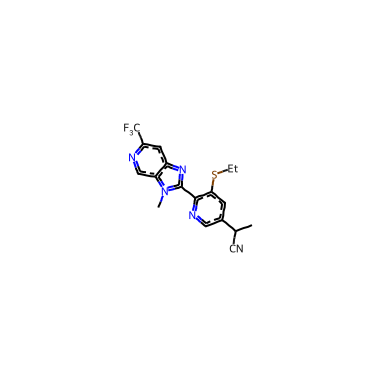 CCSc1cc(C(C)C#N)cnc1-c1nc2cc(C(F)(F)F)ncc2n1C